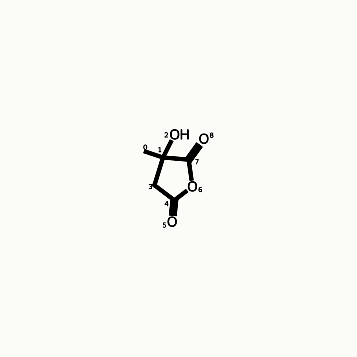 CC1(O)CC(=O)OC1=O